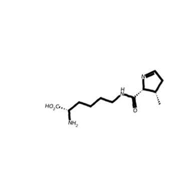 C[C@H]1CC=N[C@H]1C(=O)NCCCC[C@H](N)C(=O)O